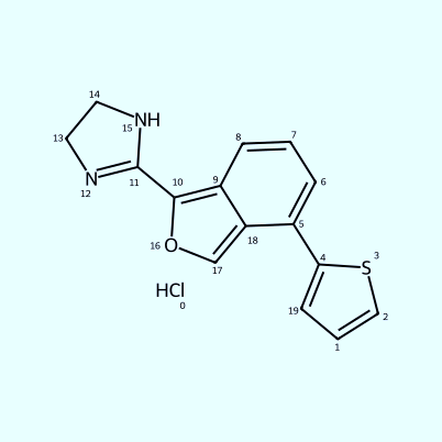 Cl.c1csc(-c2cccc3c(C4=NCCN4)occ23)c1